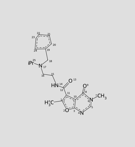 Cc1oc2ncn(C)c(=O)c2c1C(=O)NCCN(Cc1ccccc1)C(C)C